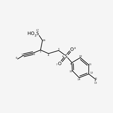 CC#CC(CCS(=O)(=O)c1ccc(F)cc1)CS(=O)(=O)O